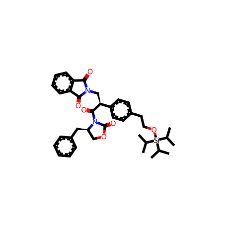 CC(C)[Si](OCCc1ccc([C@H](CN2C(=O)c3ccccc3C2=O)C(=O)N2C(=O)OC[C@H]2Cc2ccccc2)cc1)(C(C)C)C(C)C